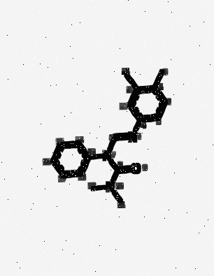 Cc1ccc(N=CN(C(=O)N(C)C)c2ccccc2)cc1C